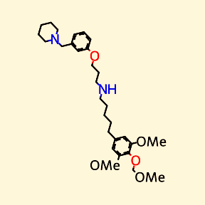 COCOc1c(OC)cc(CCCCCNCCCOc2cccc(CN3CCCCC3)c2)cc1OC